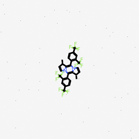 CC1C=CN2C(c3ccc(C(F)(F)F)cc3C(F)(F)F)=C3C(C)C=CN3C(c3ccc(C(F)(F)F)cc3C(F)(F)F)=C12